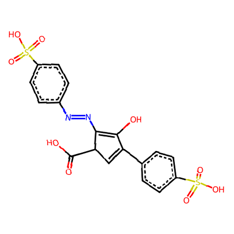 O=C(O)C1C=C(c2ccc(S(=O)(=O)O)cc2)C(O)=C1/N=N/c1ccc(S(=O)(=O)O)cc1